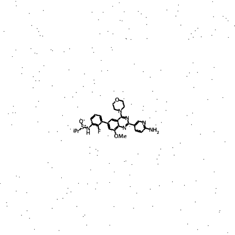 COc1cc(-c2cccc(N[S+]([O-])C(C)C)c2F)cc2c(N3CCOCC3)nc(-c3ccc(N)nc3)nc12